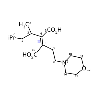 CC(C)CC(C)/C(C(=O)O)=C(/CCN1CCOCC1)C(=O)O